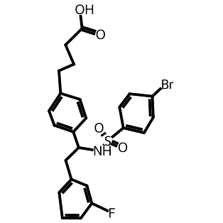 O=C(O)CCCc1ccc(C(Cc2cccc(F)c2)NS(=O)(=O)c2ccc(Br)cc2)cc1